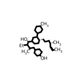 C/C=C\[C@@H](C)CCC[C@@H]1CCC([C@H](O)C(CC)C(C)CC2CCC(O)CC2)CC1C1CCC(C)CC1